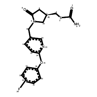 NC(=O)SC[C@@H]1CC(=O)N(Cc2ccc(Oc3ccc(F)cc3)nc2)C1